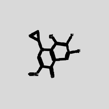 O=[C]c1cn(C2CC2)c2c(Cl)c(F)c(F)cc2c1=O